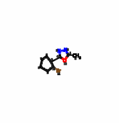 Cc1nnc(-c2ccccc2Br)o1